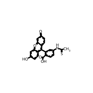 CC(=S)Nc1ccc(C(=O)O)c(-c2c3ccc(=O)cc-3oc3cc(O)ccc23)c1